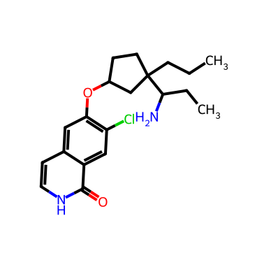 CCCC1(C(N)CC)CCC(Oc2cc3cc[nH]c(=O)c3cc2Cl)C1